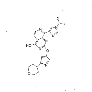 Oc1nc(Oc2cnn(C3CCOCC3)c2)nc2c(-c3cn(C(F)F)cn3)nccc12